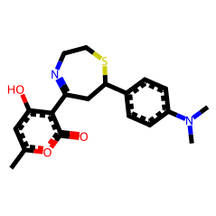 Cc1cc(O)c(C2=NCCSC(c3ccc(N(C)C)cc3)C2)c(=O)o1